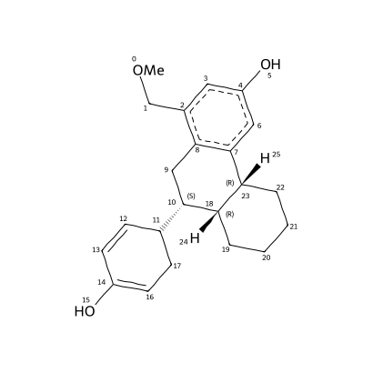 COCc1cc(O)cc2c1C[C@@H](C1C=CC(O)=CC1)[C@H]1CCCC[C@@H]21